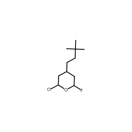 CC(C)(C)CCC1CC(F)OC(Cl)C1